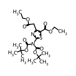 CCOC(=O)Cc1nc(N(C(=O)OC(C)(C)C)C(=O)OC(C)(C)C)sc1C(=O)OCC